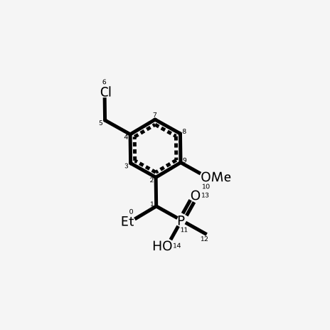 CCC(c1cc(CCl)ccc1OC)P(C)(=O)O